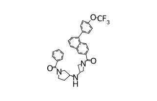 O=C(c1ccc2c(-c3ccc(OC(F)(F)F)cc3)cccc2c1)N1CC(N[C@H]2CCN(C(=O)c3ccccc3)C2)C1